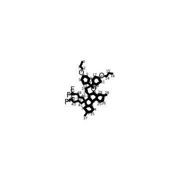 CCCOc1ccc(C2(c3ccc(OCCC)cc3)C=Cc3c4c(c5ccc(C)cc5c3O2)-c2ccc(C)cc2C4(CCCCF)CCCC(F)(F)F)cc1